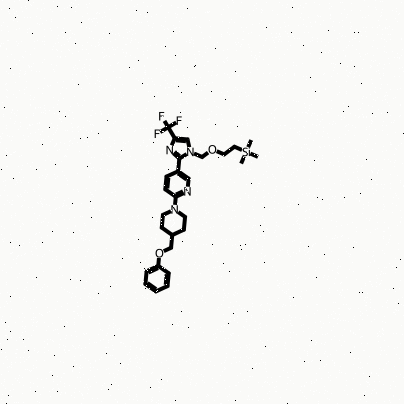 C[Si](C)(C)CCOCn1cc(C(F)(F)F)nc1-c1ccc(N2CCC(COc3ccccc3)CC2)nc1